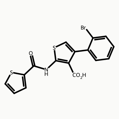 O=C(Nc1scc(-c2ccccc2Br)c1C(=O)O)c1cccs1